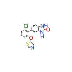 O=c1[nH]c2ccc(-c3c(Cl)cccc3Oc3cncs3)cc2[nH]1